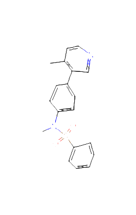 Cc1ccncc1-c1ccc(N(C)S(=O)(=O)c2ccccc2)cc1